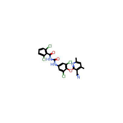 Cc1cc(C)c(C#N)c(Oc2c(Cl)cc(NC(=O)NC(=O)c3c(Cl)cccc3Cl)cc2Cl)n1